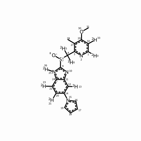 [2H]c1nc(C([2H])([2H])[S+]([O-])c2nc3c([2H])c(-n4cccc4)c([2H])c([2H])c3n2[2H])c(C)c(OC)c1[2H]